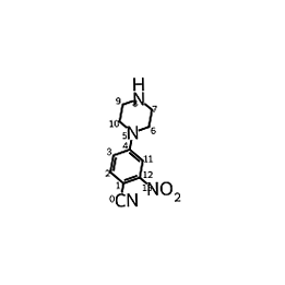 N#Cc1ccc(N2CCNCC2)cc1[N+](=O)[O-]